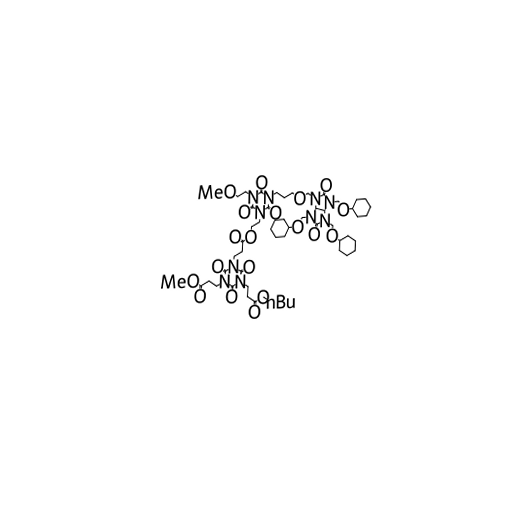 CCCCOC(=O)CCn1c(=O)n(CCC(=O)OC)c(=O)n(CCC(=O)OCCn2c(=O)n(CCCOCN3C(=O)N(COC4CCCCC4)C4C3N(COC3CCCCC3)C(=O)N4COC3CCCCC3)c(=O)n(CCOC)c2=O)c1=O